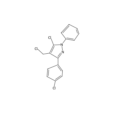 ClCc1c(-c2ccc(Cl)cc2)nn(-c2ccccc2)c1Cl